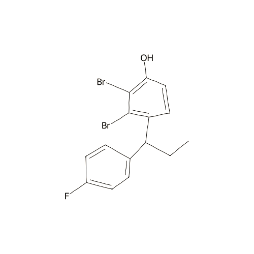 CCC(c1ccc(F)cc1)c1ccc(O)c(Br)c1Br